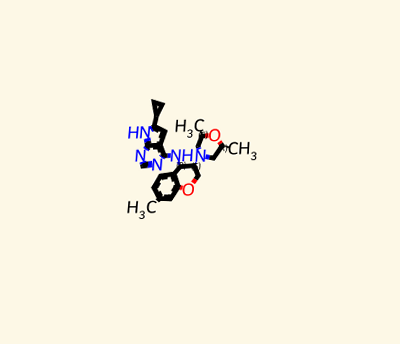 Cc1ccc2c(c1)OC[C@@H](N1C[C@@H](C)O[C@@H](C)C1)[C@@H]2Nc1ncnc2[nH]c(C3CC3)cc12